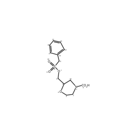 O=C(O)N1CCOC(COS(=O)(=O)Cc2ccccc2)C1